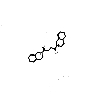 O=C(CCC(=O)N1CCC2CCCC=C2C1)N1CCC2CCCC=C2C1